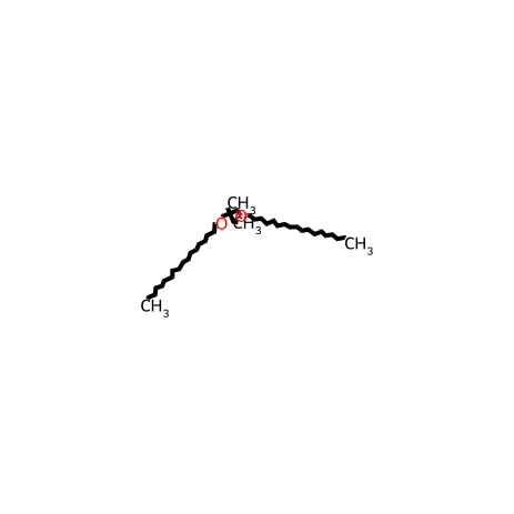 CCCCCCCCCCCCCCCCCCOCC(CC)(CC)COCCCCCCCCCCCCCCCCCC